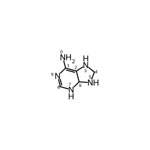 NC1=C2NCNC2NC=N1